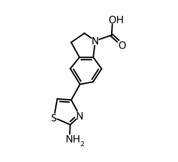 Nc1nc(-c2ccc3c(c2)CCN3C(=O)O)cs1